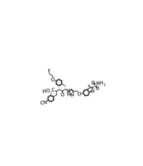 [C-]#[N+]c1ccc(C[C@H](CC(=O)[C@H](Cc2ccc(OCCF)cc2)n2cc(COc3ccc4nc(S(N)(=O)=O)sc4c3)nn2)C(=O)O)cc1